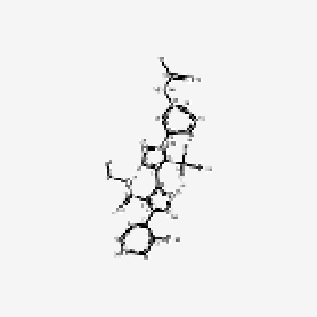 CCOC(=O)c1c(-c2ccncc2F)noc1-c1cnn(-c2cccc(NC(C)=O)c2)c1C(F)(F)F